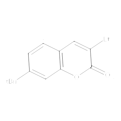 CCc1cc2ccc(C(C)(C)C)cc2oc1=O